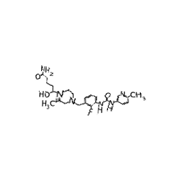 Cc1ccc(NC(=O)Nc2cccc(CN3CCN(C(O)CCCC(N)=O)[C@H](C)C3)c2F)cn1